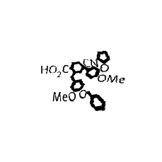 COc1cc(CC2CC(C#N)(c3ccc(OC)c(OC4CCCC4)c3)CCC2C(=O)O)ccc1OCc1ccccc1